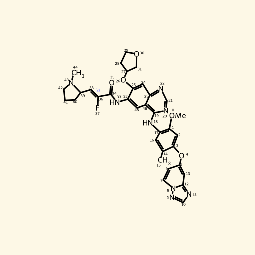 COc1cc(Oc2ccn3ncnc3c2)c(C)cc1Nc1ncnc2cc(OC3CCOC3)c(NC(=O)/C(F)=C/C3CCCN3C)cc12